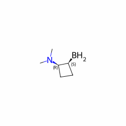 B[C@H]1CC[C@H]1N(C)C